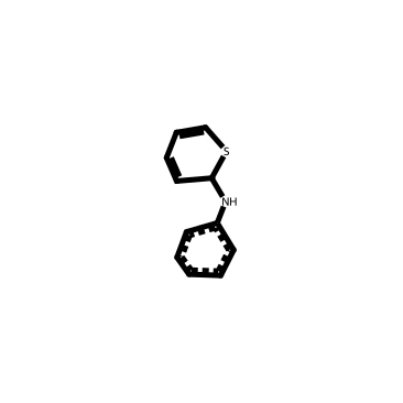 C1=CS[C](Nc2ccccc2)C=C1